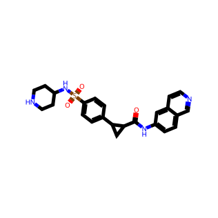 O=C(Nc1ccc2cnccc2c1)C1CC1c1ccc(S(=O)(=O)NC2CCNCC2)cc1